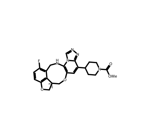 COC(=O)N1CCC(c2cc3c(n4cnnc24)NCc2c(F)ccc4c2[C@H](CO4)CO3)CC1